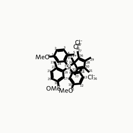 COc1ccc(C)c([Si](c2cc(OC)ccc2C)(c2cc(OC)ccc2C)[C]2([Ti+3])C(C)=C(C)C(C)=C2C)c1.[Cl-].[Cl-].[Cl-]